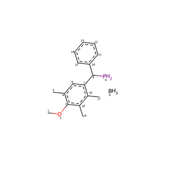 B.COc1c(C)cc(C(P)c2ccccc2)c(C)c1C